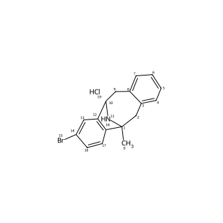 CC12Cc3ccccc3CC(N1)c1cc(Br)ccc12.Cl